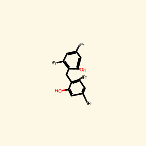 CC(C)c1cc(O)c(Cc2c(O)cc(C(C)C)cc2C(C)C)c(C(C)C)c1